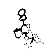 CC(C)(C)OC(=O)N1CCCCC1C(=O)c1cc2ccccc2s1